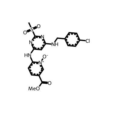 COC(=O)c1ccc(Nc2cc(NCc3ccc(Cl)cc3)nc(S(C)(=O)=O)n2)[n+]([O-])c1